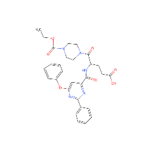 CCOC(=O)N1CCN(C(=O)C(CCC(=O)O)NC(=O)c2cc(Oc3ccccc3)nc(-c3ccccc3)n2)CC1